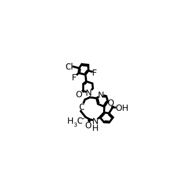 C[C@@H]1CCC[C@H](N2CCC(c3c(F)ccc(Cl)c3F)=CC2=O)c2cc(ccn2)-c2c(cccc2C(=O)O)NC1=O